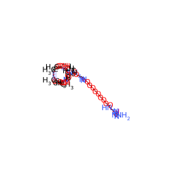 COC1C[C@@H]2CC[C@@H](C)[C@@](O)(O2)C(=O)C(=O)N2CCCC[C@H]2C(=O)OC(C(N)CC2CCC(OCCCCc3cn(CCOCCOCCOCCOCCOCCOCCOCCOCCC(=O)NCCCCn4nc(I)c5c(N)ncnc54)nn3)[C@H](OC)C2)CC(=O)C(C)/C=C(\C)C(O)[C@@H](O)C(=O)C(C)CC(C)/C=C/C=C/C=C/1C